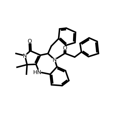 CN1C(=O)C2=C(Nc3ccccc3N(C(=O)Cc3ccccc3)C2Cc2ccccc2)C1(C)C